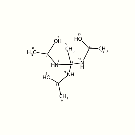 CC(O)NC(C)(NC(C)O)NC(C)O